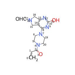 C=CC(=O)N1CCN(c2nc(O)nc3c2CN(C=O)C3)CC1